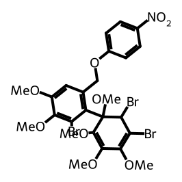 COC1=C(Br)C(Br)C(OC)(c2c(COc3ccc([N+](=O)[O-])cc3)cc(OC)c(OC)c2Br)C(OC)=C1OC